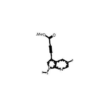 COC(=O)C#Cc1cn(SI)c2ncc(F)cc12